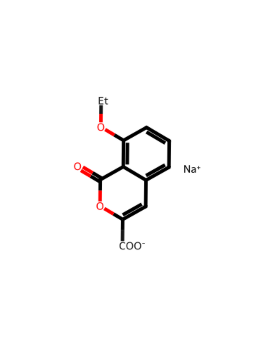 CCOc1cccc2cc(C(=O)[O-])oc(=O)c12.[Na+]